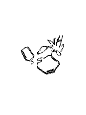 NS(=O)(=O)C1=CC=CCS1.c1ccsc1